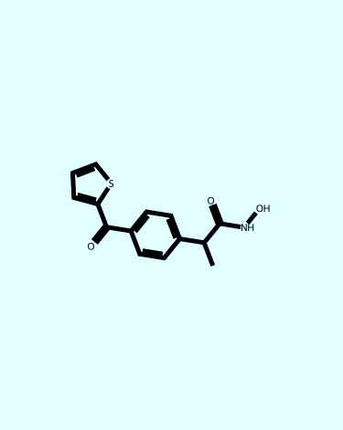 CC(C(=O)NO)c1ccc(C(=O)c2cccs2)cc1